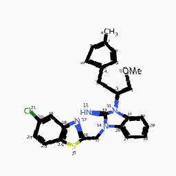 COCC(Cc1ccc(C)cc1)n1c(=N)n(Cc2nc3cc(Cl)ccc3s2)c2ccccc21